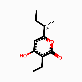 CCc1c(O)cc([C@@H](C)CC)oc1=O